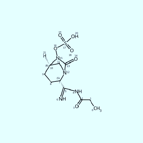 CCC(=O)NC(=N)[C@@H]1CC[C@@H]2CN1C(=O)N2OS(=O)(=O)O